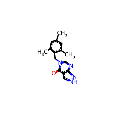 Cc1cc(C)c(Cn2cnc3n[nH]cc3c2=O)c(C)c1